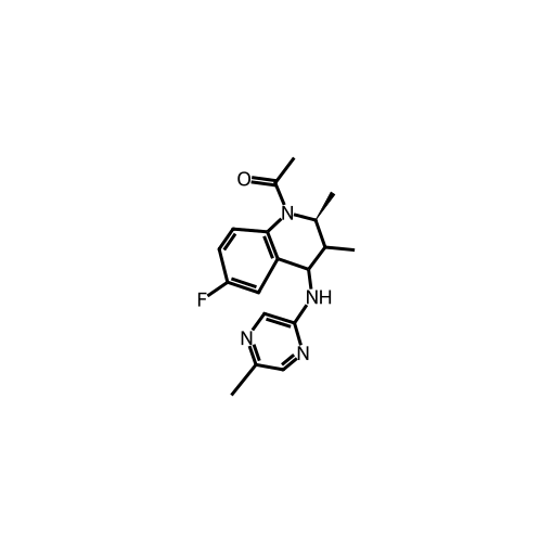 CC(=O)N1c2ccc(F)cc2C(Nc2cnc(C)cn2)C(C)[C@@H]1C